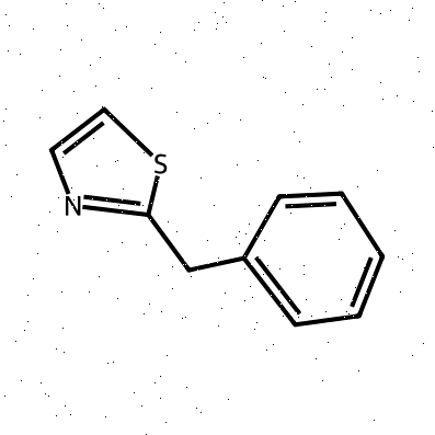 c1ccc(Cc2nccs2)cc1